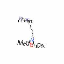 CCCCC/C=C\C/C=C\CCCCCCCCN(CCCCCCCCCCCC)CC(=O)OC